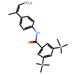 C/C(=C/C(=O)O)c1ccc(NC(=O)c2cc([Si](C)(C)C)cc([Si](C)(C)C)c2)cc1